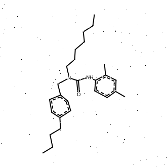 CCCCCCCN(Cc1ccc(CCCC)cc1)C(=O)Nc1ccc(C)cc1C